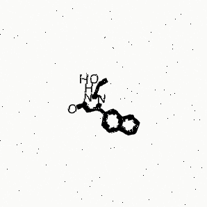 C=C(O)c1nc(-c2ccc3ccccc3c2)cc(=O)[nH]1